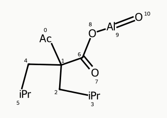 CC(=O)C(CC(C)C)(CC(C)C)C(=O)[O][Al]=[O]